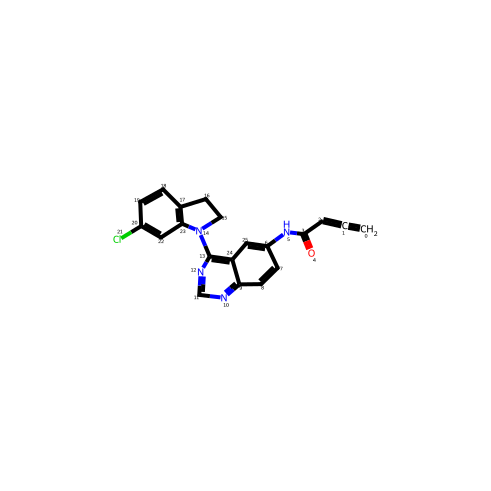 C=C=CC(=O)Nc1ccc2ncnc(N3CCc4ccc(Cl)cc43)c2c1